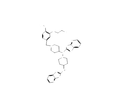 CCCOc1cc(CN2CCC(N(c3nc4cccnc4s3)N3CCC(Nc4nc5cccnc5s4)CC3)CC2)ccc1OC